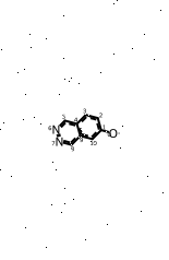 [O]c1ccc2cnncc2c1